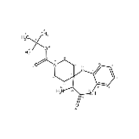 CC(C)(C)OC(=O)N1CCC2(CC1)Oc1ccccc1NC(=O)C2N